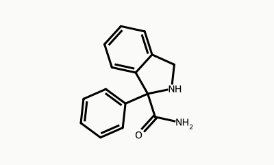 NC(=O)C1(c2ccccc2)NCc2ccccc21